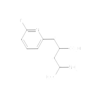 NC(CC(Cc1cccc([18F])n1)C(=O)O)C(=O)O